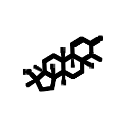 CN1C(=O)C=C[C@]2(C)[C@H]3CC[C@@]4(C)[C@@H](CC[C@]4(C)O)[C@@H]3CC[C@@H]12